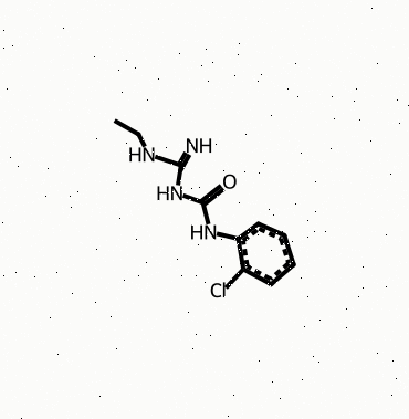 CCNC(=N)NC(=O)Nc1ccccc1Cl